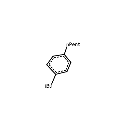 [CH2]CCCCc1ccc(C(C)CC)cc1